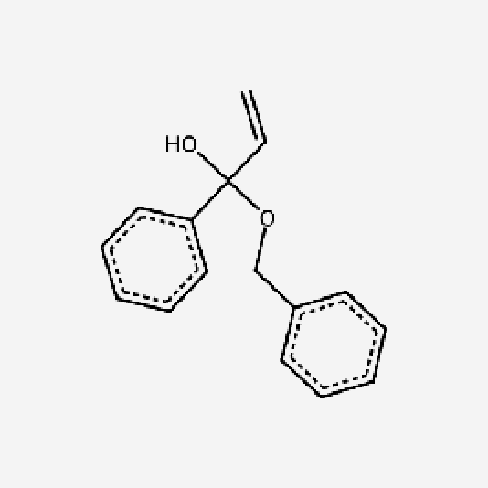 C=CC(O)(OCc1ccccc1)c1ccccc1